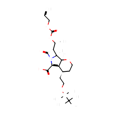 C=CCOC(=O)O[C@H](C)[C@H]1C(=O)N2C(C(=O)O)=C3[C@H](CCO[Si](C)(C)C(C)(C)C)CCO[C@@H]3[C@H]12